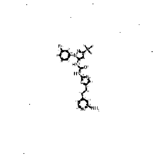 CC(C)(C)c1cc(NC(=O)Nc2ncc(CCc3ccnc(N)c3)s2)n(-c2cccc(F)c2)n1